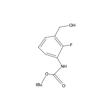 CC(C)(C)OC(=O)Nc1cccc(CO)c1F